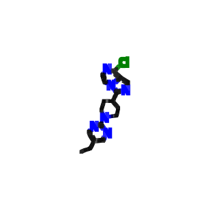 CCc1cnc(N2CCC(c3ncc4c(Cl)nccn34)CC2)nc1